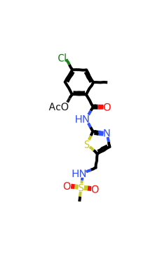 CC(=O)Oc1cc(Cl)cc(C)c1C(=O)Nc1ncc(CNS(C)(=O)=O)s1